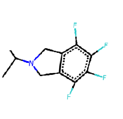 CC(C)N1Cc2c(F)c(F)c(F)c(F)c2C1